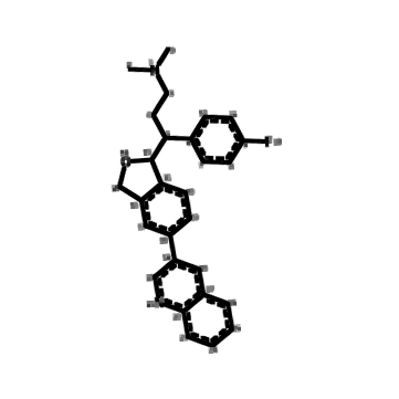 CN(C)CCC(c1ccc(F)cc1)C1OCc2cc(-c3cnc4ccccc4c3)ccc21